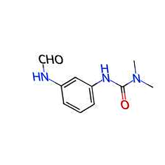 CN(C)C(=O)Nc1cccc(NC=O)c1